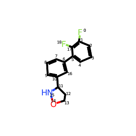 Fc1cccc(-c2cccc(C3CCON3)c2)c1F